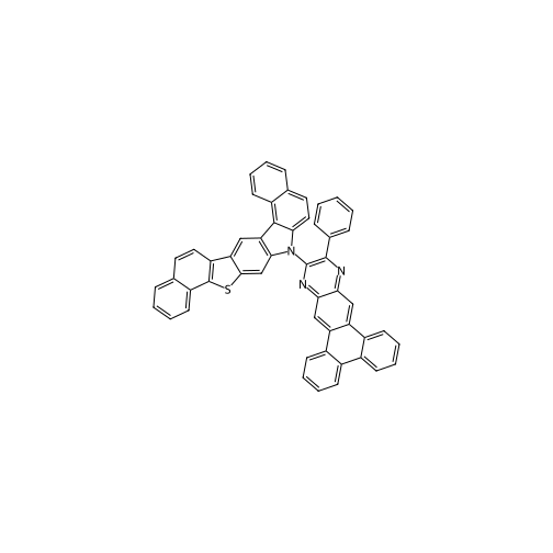 c1ccc(-c2nc3cc4c5ccccc5c5ccccc5c4cc3nc2-n2c3cc4sc5c6ccccc6ccc5c4cc3c3c4ccccc4ccc32)cc1